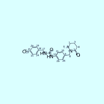 C[C@@H]1CCCC(=O)N1Cc1ccc(NC(=O)NCc2ccc(Cl)cc2)cc1